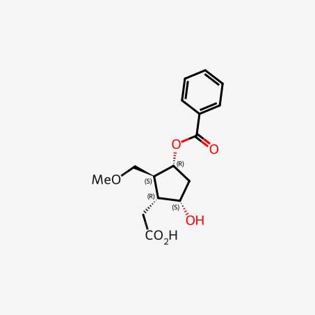 COC[C@@H]1[C@@H](CC(=O)O)[C@@H](O)C[C@H]1OC(=O)c1ccccc1